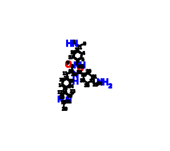 CC(=N)c1ccc(NC(=O)[C@H](Cc2ccc(-c3cnc(C)nc3C)cc2)NC(=O)[C@H]2CC[C@H](CN)CC2)cc1